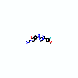 COc1ccc(C2CN=C3C(Nc4ccc5c(c4)CCN(CCN(C)C)C5=O)=NC=CN32)cc1F